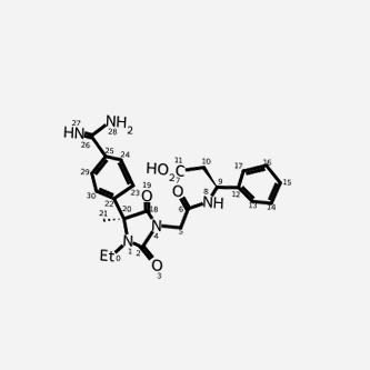 CCN1C(=O)N(CC(=O)N[C@@H](CC(=O)O)c2ccccc2)C(=O)[C@]1(C)c1ccc(C(=N)N)cc1